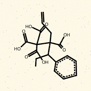 C=CCC(C(=O)O)(C(CC)c1ccccc1)C(C(=O)O)(C(=O)O)C(=O)O